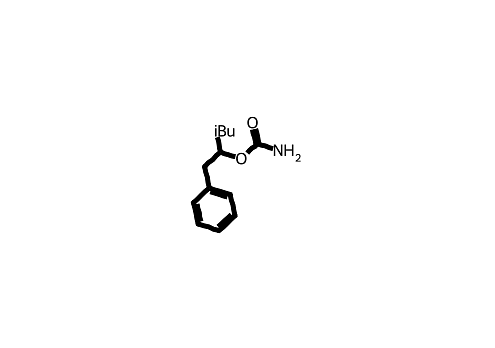 CCC(C)C(Cc1ccccc1)OC(N)=O